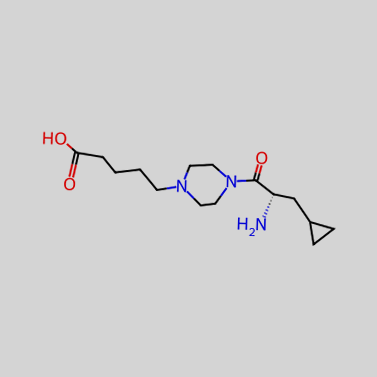 N[C@@H](CC1CC1)C(=O)N1CCN(CCCCC(=O)O)CC1